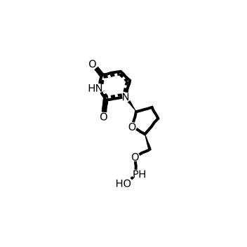 O=c1ccn([C@H]2CC[C@@H](COPO)O2)c(=O)[nH]1